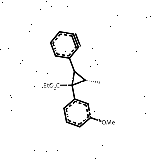 CCOC(=O)C1(c2cccc(OC)c2)C(c2c#cccc2)[C@@H]1C